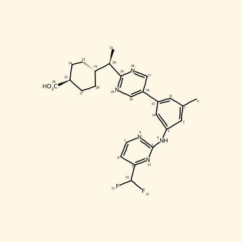 Cc1cc(Nc2nccc(C(F)F)n2)cc(-c2cnc([C@H](C)[C@H]3CC[C@H](C(=O)O)CC3)nc2)c1